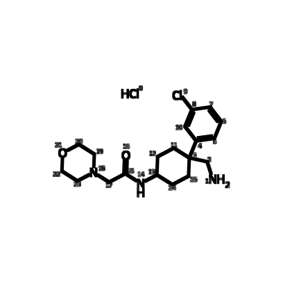 Cl.NCC1(c2cccc(Cl)c2)CCC(NC(=O)CN2CCOCC2)CC1